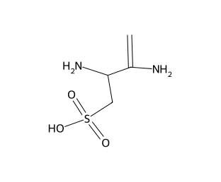 C=C(N)C(N)CS(=O)(=O)O